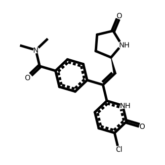 CN(C)C(=O)c1ccc(/C(=C\[C@H]2CCC(=O)N2)c2ccc(Cl)c(=O)[nH]2)cc1